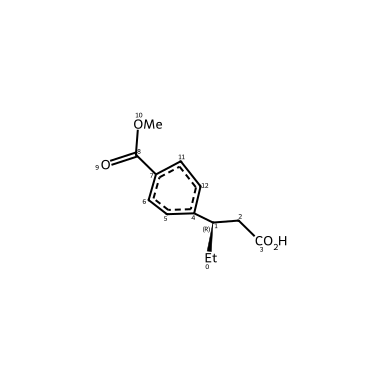 CC[C@H](CC(=O)O)c1ccc(C(=O)OC)cc1